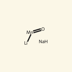 [Li][Mn]=[O].[NaH]